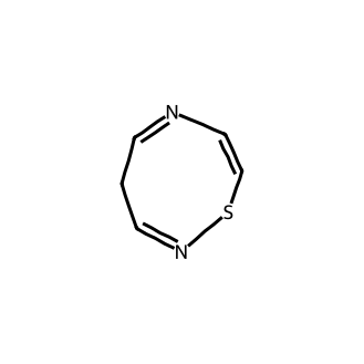 C1=C\S/N=C\C\C=N/1